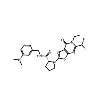 CCn1c(C(F)F)nc2sc(N3CCC[C@@H]3C(=O)NCc3cccc(N(C)C)c3)nc2c1=O